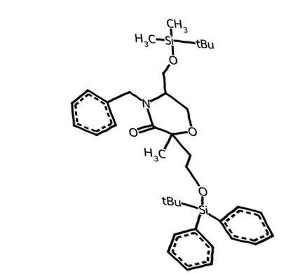 CC1(CCO[Si](c2ccccc2)(c2ccccc2)C(C)(C)C)OCC(CO[Si](C)(C)C(C)(C)C)N(Cc2ccccc2)C1=O